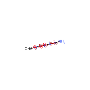 NCCCCCCN(Br)C(=O)CCCCC(=O)N(Br)CCCCCCN(Br)C(=O)CCCCC(=O)N(Br)CCCCCCN(Br)C(=O)CCCCC=O